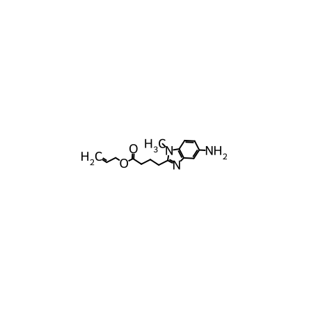 C=CCOC(=O)CCCc1nc2cc(N)ccc2n1C